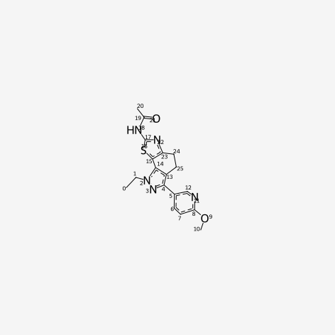 CCn1nc(-c2ccc(OC)nc2)c2c1-c1sc(NC(C)=O)nc1CC2